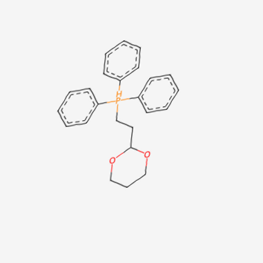 c1ccc([PH](CCC2OCCCO2)(c2ccccc2)c2ccccc2)cc1